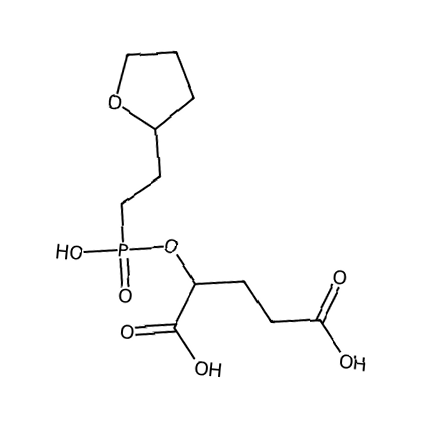 O=C(O)CCC(OP(=O)(O)CCC1CCCO1)C(=O)O